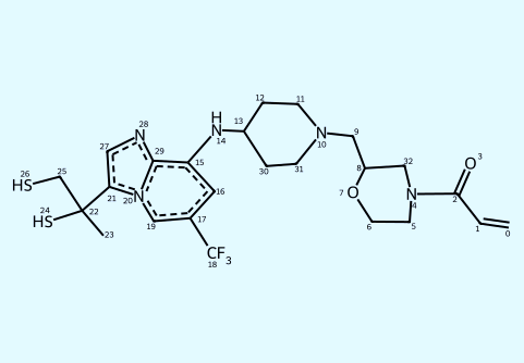 C=CC(=O)N1CCOC(CN2CCC(Nc3cc(C(F)(F)F)cn4c(C(C)(S)CS)cnc34)CC2)C1